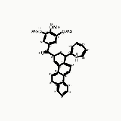 COc1cc(C(=O)C2C=c3c(ccc4c3=CCc3ccccc3-4)C(C3=CC=CC=CN3)C2)cc(OC)c1OC